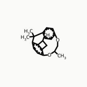 CC1COc2ccc(cc2)C(C)(C)c2ccc(c3c2C(C)C3)O1